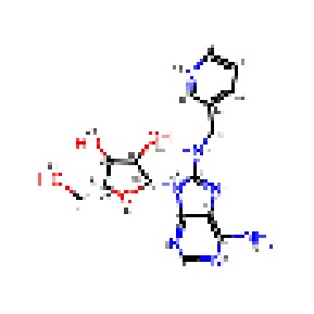 Nc1ncnc2c1nc(NCc1cccnc1)n2[C@@H]1O[C@H](CO)C(O)C1O